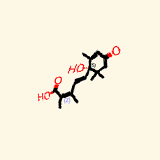 CC1=CC(=O)CC(C)(C)[C@@]1(O)C=C/C(C)=C(/C)C(=O)O